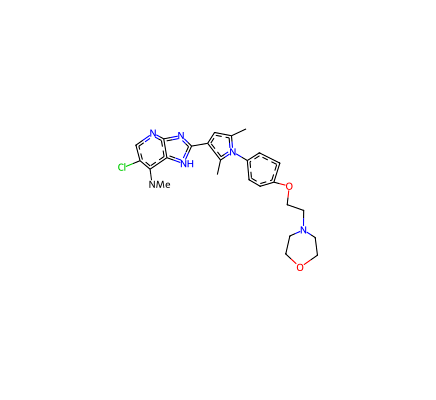 CNc1c(Cl)cnc2nc(-c3cc(C)n(-c4ccc(OCCN5CCOCC5)cc4)c3C)[nH]c12